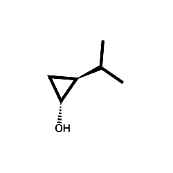 CC(C)[C@@H]1C[C@H]1O